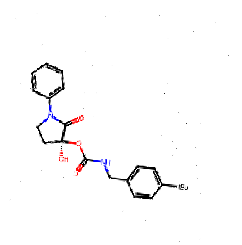 CC(C)(C)c1ccc(CNC(=O)O[C@@]2(O)CCN(c3ccccc3)C2=O)cc1